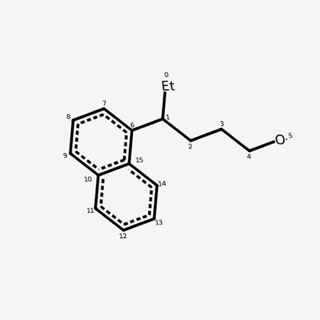 CCC(CCC[O])c1cccc2ccccc12